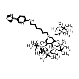 CC(C)(C)[Si](C)(C)OC[C@@H]1C(O[Si](C)(C)C(C)(C)C)C(O[Si](C)(C)C(C)(C)C)C(O[Si](C)(C)C(C)(C)C)CN1CCCCCCNc1ccc(-n2cncn2)cn1